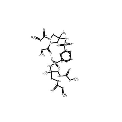 C=CC(=O)OCC(C)(COC(=O)C=C)NS(=O)(=O)c1cccc(S(=O)(=O)NC(C)(COC(=O)C=C)COC(=O)CC)c1